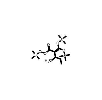 CCC([SiH3])C(C(=O)OO[Si](C)(C)C)=C(O[Si](C)(C)C)O[Si](C)(C)C